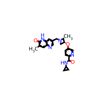 Cc1cc2ncc(CN3C[C@H](Oc4ccc(C(=O)NC5CC5)nc4)[C@H]3C)cc2[nH]c1=O